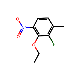 CCOc1c([N+](=O)[O-])ccc(C)c1F